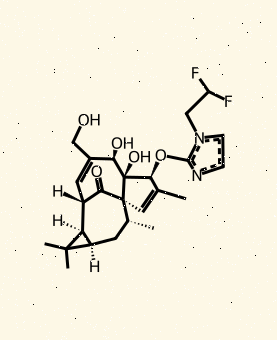 CC1=C[C@]23C(=O)[C@@H](C=C(CO)[C@@H](O)[C@]2(O)[C@H]1Oc1nccn1CC(F)F)[C@H]1[C@@H](C[C@H]3C)C1(C)C